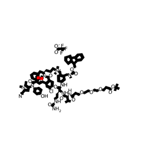 Cc1c(N(C(=O)c2cc(-c3cc(Cl)ccc3C(=O)N3Cc4ccccc4C[C@H]3CCC[N+](C)(C)Cc3ccc(NC(=O)[C@H](CCCNC(N)=O)NC(=O)[C@@H](NC(=O)CCOCCOCCOCCC(=O)OC(C)(C)C)C(C)C)cc3CN(C)C(=O)OCC3c4ccccc4-c4ccccc43)n(C)c2C)c2ccc(O)cc2)cc(C#N)n1C.O=C([O-])C(F)(F)F